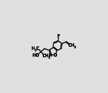 C=Cc1cc2onc(CC(C)(C)O)c2cc1F